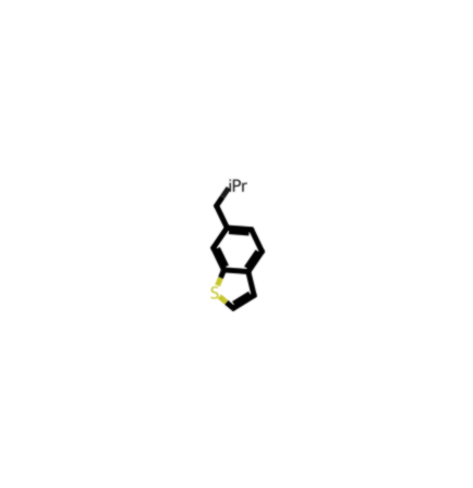 CC(C)Cc1ccc2ccsc2c1